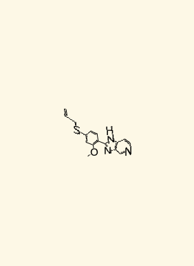 C=CCSc1ccc(-c2nc3cnccc3[nH]2)c(OC)c1